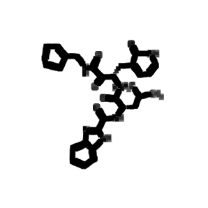 CC(C)C[C@H](NC(=O)c1nc2ccccc2[nH]1)C(=O)N[C@@H](Cc1ccc[nH]c1=O)C(=O)C(=O)NCc1ccccc1